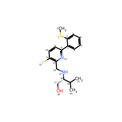 CSc1ccccc1-c1ccc(F)c(CN[C@@H](CO)C(C)C)n1